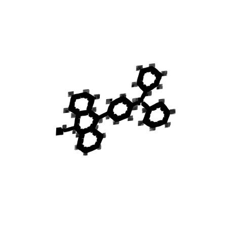 Brc1c2ccccc2c(-c2ccc(P(c3ccccc3)c3ccccc3)cc2)c2ccccc12